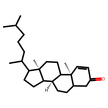 CC(C)CCCC(C)C1CCC2[C@@H]3CCC4CC(=O)C=C[C@]4(C)C3CC[C@]12C